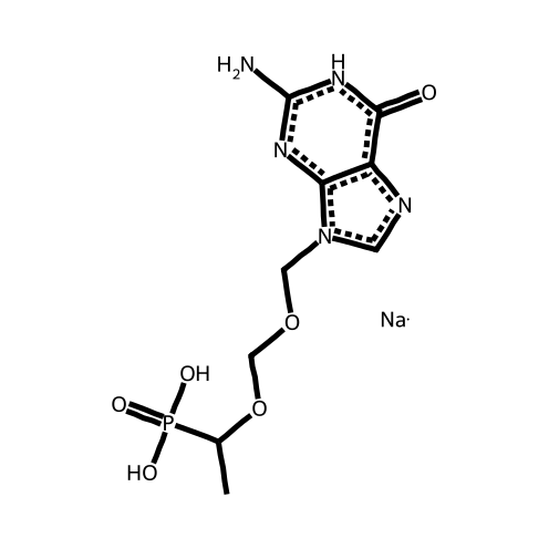 CC(OCOCn1cnc2c(=O)[nH]c(N)nc21)P(=O)(O)O.[Na]